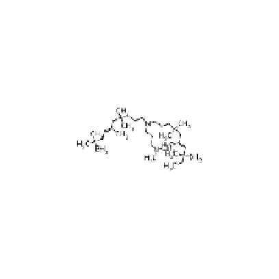 BC(C)(C)C/C=C(\C)CC(C)(C)CCCN(CCCN(C)C)CCCC(C)(C)C/C(C)=C/C(B)(C)CC